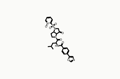 CC(C)CC(NC(=O)c1ccc(-c2cnco2)cc1)C(=O)N1CCC2C1C(=O)CN2S(=O)(=O)c1cccc[n+]1[O-]